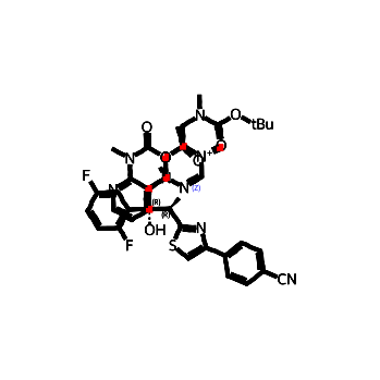 C=[N+](/C=N\N(C)C[C@](O)(c1cc(F)ccc1F)[C@@H](C)c1nc(-c2ccc(C#N)cc2)cs1)C(C)OC(=O)N(C)c1ncccc1COC(=O)CN(C)C(=O)OC(C)(C)C